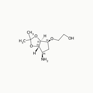 CC1(C)O[C@@H]2[C@@H](O1)[C@@H](OCCO)C[C@H]2N